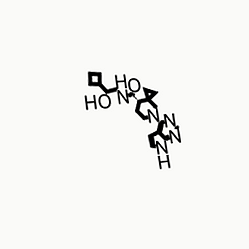 O=C(NC[C@H](O)C1CCC1)[C@H]1CCN(c2ncnc3[nH]ccc23)CC12CC2